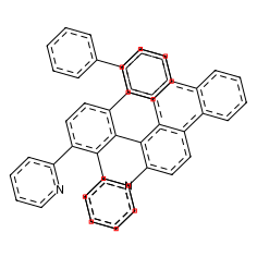 c1ccc(-c2ccccc2-c2ccc(-c3ccccn3)c(-c3ccccn3)c2-c2c(-c3ccccc3)ccc3c4ccccc4c4ccccc4c23)cc1